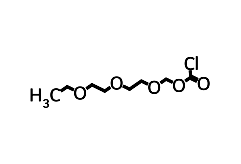 CCOCCOCCOCOC(=O)Cl